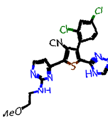 [C-]#[N+]c1c(-c2ccnc(NCCOC)n2)sc(-c2nnc[nH]2)c1-c1ccc(Cl)cc1Cl